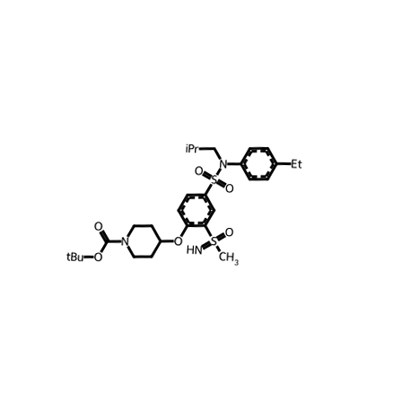 CCc1ccc(N(CC(C)C)S(=O)(=O)c2ccc(OC3CCN(C(=O)OC(C)(C)C)CC3)c(S(C)(=N)=O)c2)cc1